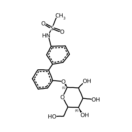 CS(=O)(=O)Nc1cccc(-c2ccccc2O[C@@H]2OC(CO)[C@H](O)C(O)C2O)c1